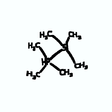 C[Si](C)(C)[PH](C)(C)C